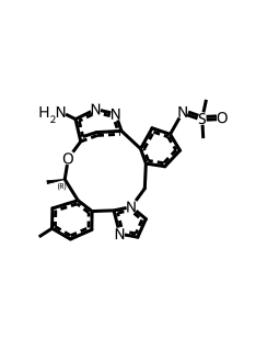 Cc1ccc2c(c1)[C@@H](C)Oc1cc(nnc1N)-c1cc(N=S(C)(C)=O)ccc1Cn1ccnc1-2